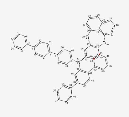 c1ccc(-c2ccc(-c3ccc(N(c4ccc5c(c4)Oc4cccc6cccc(c46)O5)c4cc(-c5ccccc5)ccc4-c4ccccc4)cc3)cc2)cc1